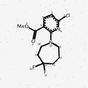 COC(=O)c1ccc(Cl)nc1N1CCCC(F)(F)CC1